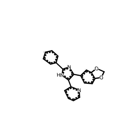 [c]1ccc(-c2nc(-c3ccc4c(c3)OCO4)c(-c3ccccn3)[nH]2)cc1